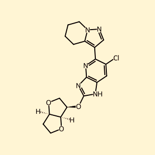 Clc1cc2[nH]c(O[C@@H]3CO[C@@H]4CCO[C@@H]43)nc2nc1-c1cnn2c1CCCC2